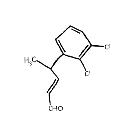 CC(C=CC=O)c1cccc(Cl)c1Cl